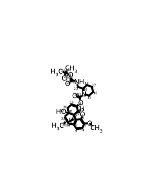 COc1ccc2c3c1O[C@H]1C(OC(=O)N4CCCCC4CNC(=O)OC(C)(C)C)=CC[C@@]4(O)C(C2)N(C)CC[C@]314